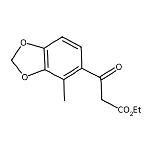 CCOC(=O)CC(=O)c1ccc2c(c1C)OCO2